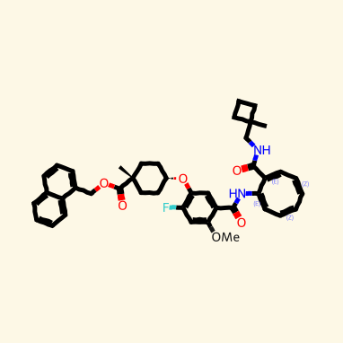 COc1cc(F)c(O[C@H]2CC[C@@](C)(C(=O)OCc3cccc4ccccc34)CC2)cc1C(=O)NC1=C/C=C\C=C/C=C\1C(=O)NCC1(C)CCC1